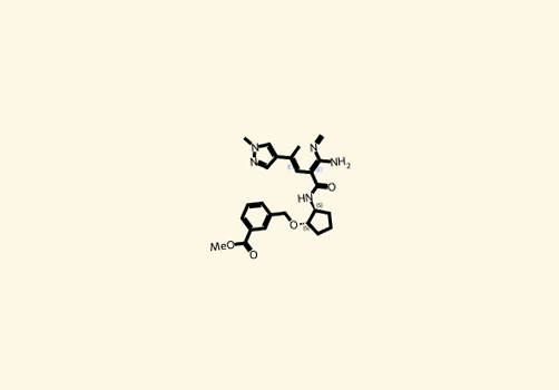 C=N/C(N)=C(\C=C(/C)c1cnn(C)c1)C(=O)N[C@H]1CCC[C@@H]1OCc1cccc(C(=O)OC)c1